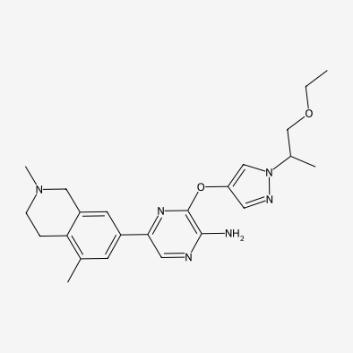 CCOCC(C)n1cc(Oc2nc(-c3cc(C)c4c(c3)CN(C)CC4)cnc2N)cn1